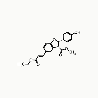 CCOC(=O)/C=C/c1ccc2c(c1)[C@H](C(=O)OC)[C@@H](c1ccc(O)cc1)O2